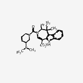 CC(C)C1N(C(=O)N2CCCC(N(C)C)C2)C=C(C(=O)O)c2[nH]c3ccccc3c2C1(C)C